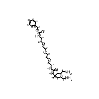 CC(CCCN)(CCCN)NC(=O)NCCOCCOCCOCCNC(=O)OCc1ccccc1